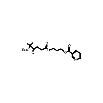 CC(C)COC(C)(C)C(=O)CCC(=O)OCCCOC(=O)c1cccnc1